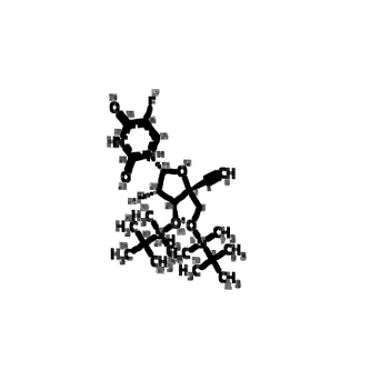 C#C[C@]1(CO[Si](C)(C)C(C)(C)C)O[C@@H](n2cc(F)c(=O)[nH]c2=O)[C@@H](F)[C@@H]1O[Si](C)(C)C(C)(C)C